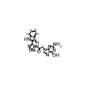 Nc1nc(O)c2ncn(CC(=O)Nc3nonc3-c3nc4ccccc4[nH]3)c2n1